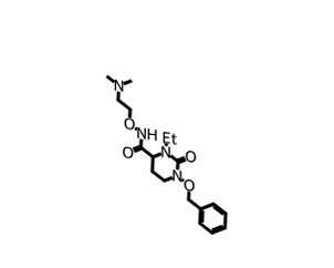 CCN1C(=O)N(OCc2ccccc2)CCC1C(=O)NOCCN(C)C